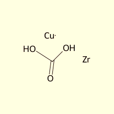 O=C(O)O.[Cu].[Zr]